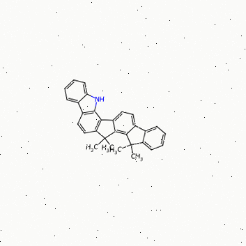 CC1(C)c2ccccc2-c2ccc3c(c21)C(C)(C)c1ccc2c([nH]c4ccccc42)c1-3